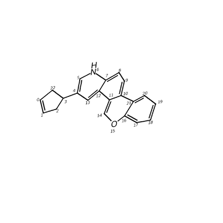 C1=CCC(C2=CNc3ccc4c(c3=C2)=COc2ccccc2-4)C1